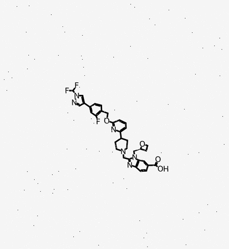 O=C(O)c1ccc2nc(CN3CCC(c4cccc(OCc5ccc(-c6cnn(C(F)F)c6)cc5F)n4)CC3)n(C[C@@H]3CCO3)c2c1